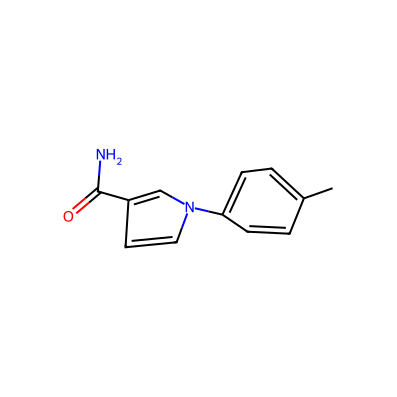 Cc1ccc(-n2ccc(C(N)=O)c2)cc1